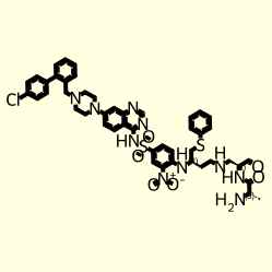 C[C@H](N)C(=O)N[C@H](C=O)CNCC[C@H](CSc1ccccc1)Nc1ccc(S(=O)(=O)Nc2ncnc3cc(N4CCN(Cc5ccccc5-c5ccc(Cl)cc5)CC4)ccc23)cc1[N+](=O)[O-]